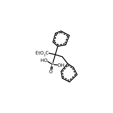 CCOC(=O)C(Cc1ccccc1)(c1ccccc1)P(=O)(O)O